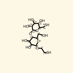 OCC1O[C@@H](OCCS)[C@@H](O)C(O)[C@@H]1O[C@@H]1OC(CS)[C@@H](O)C(O)[C@@H]1O